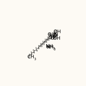 CCCCCCCCCCCCCCCCCCOC(=O)C(CC(=O)O)S(=O)(=O)O.N.N